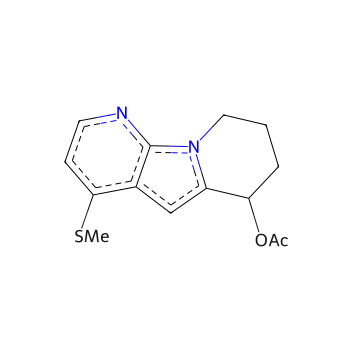 CSc1ccnc2c1cc1n2CCCC1OC(C)=O